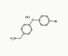 Cl.NCc1ccc(Oc2ccc(Br)cc2)cc1